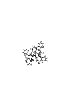 c1ccc(-c2nc(-n3c4ccc5ccccc5c4c4cc5c6c(cccc6c43)-c3ccccc3-5)nc3ccccc23)cc1